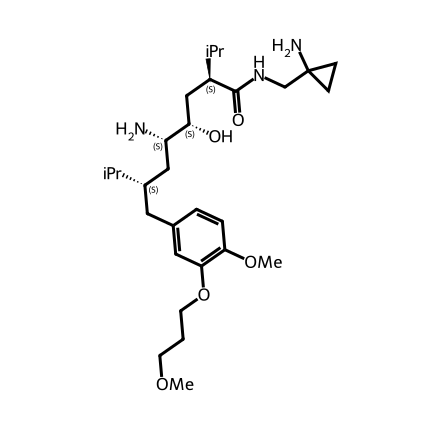 COCCCOc1cc(C[C@@H](C[C@H](N)[C@@H](O)C[C@H](C(=O)NCC2(N)CC2)C(C)C)C(C)C)ccc1OC